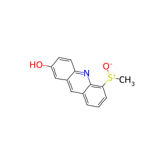 C[S+]([O-])c1cccc2cc3cc(O)ccc3nc12